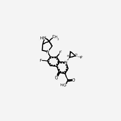 CC12CN(c3c(F)cc4c(=O)c(C(=O)O)cn([C@@H]5C[C@@H]5F)c4c3F)CC1N2